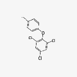 [CH2]c1ccc(Oc2c(Cl)cc(Cl)cc2Cl)cc1